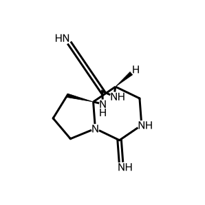 N=C1N[C@H]2CNC(=N)N3CCC[C@]23N1